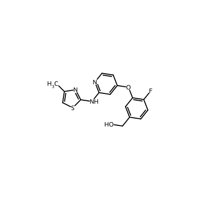 Cc1csc(Nc2cc(Oc3cc(CO)ccc3F)ccn2)n1